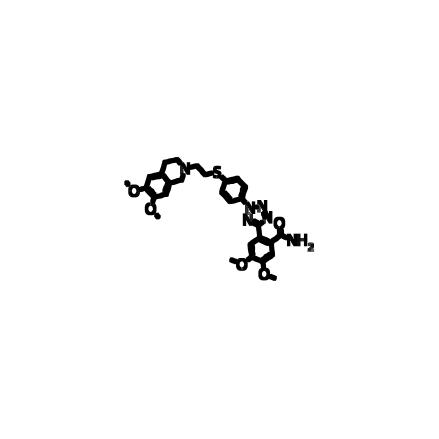 COc1cc2c(cc1OC)CN(CCSc1ccc(-n3nnc(-c4cc(OC)c(OC)cc4C(N)=O)n3)cc1)CC2